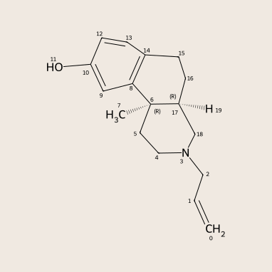 C=CCN1CC[C@@]2(C)c3cc(O)ccc3CC[C@H]2C1